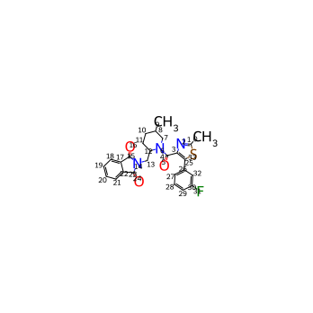 Cc1nc(C(=O)N2CC(C)CCC2CN2C(=O)c3ccccc3C2=O)c(-c2cccc(F)c2)s1